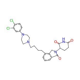 O=C1CCC(N2Cc3c(CCCCN4CCN(c5ccc(Cl)c(Cl)c5)CC4)cccc3C2=O)C(=O)N1